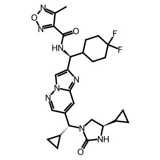 Cc1nonc1C(=O)N[C@H](c1cn2ncc([C@@H](C3CC3)N3C[C@@H](C4CC4)NC3=O)cc2n1)C1CCC(F)(F)CC1